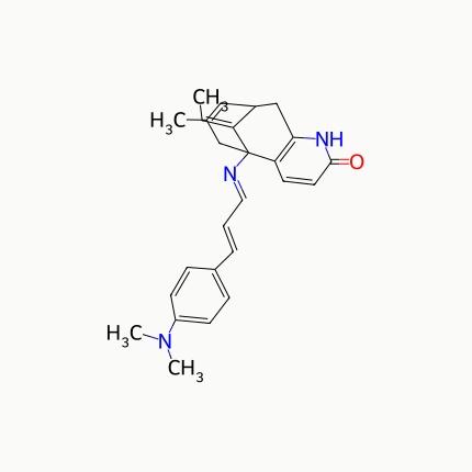 C/C=C1\C2C=C(C)CC1(/N=C/C=C/c1ccc(N(C)C)cc1)c1ccc(=O)[nH]c1C2